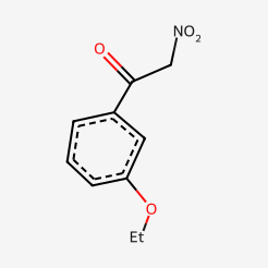 CCOc1cccc(C(=O)C[N+](=O)[O-])c1